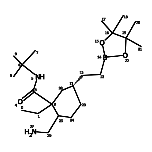 CCC1(C(=O)NC(C)(C)C)C[C@H](CCB2OC(C)(C)C(C)(C)O2)CCC1CN